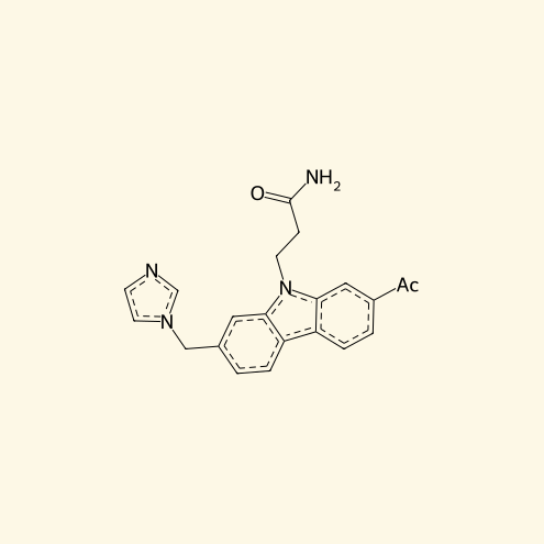 CC(=O)c1ccc2c3ccc(Cn4ccnc4)cc3n(CCC(N)=O)c2c1